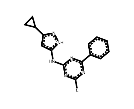 Clc1nc(Nc2cc(C3CC3)n[nH]2)nc(-c2ccccc2)n1